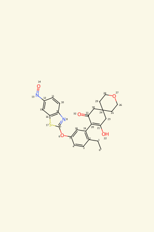 CCc1ccc(Oc2nc3ccc(N=O)cc3s2)cc1C1=C(O)CC2(CCOCC2)CC1=O